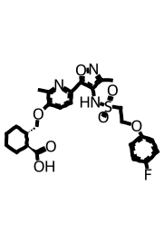 Cc1nc(-c2onc(C)c2NS(=O)(=O)CCOc2ccc(F)cc2)ccc1OC[C@H]1CCCC[C@@H]1C(=O)O